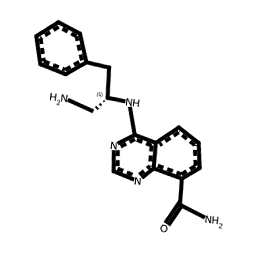 NC[C@H](Cc1ccccc1)Nc1ncnc2c(C(N)=O)cccc12